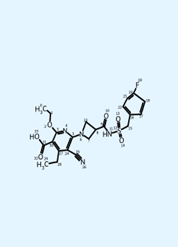 CCOc1nc(N2CC(C(=O)NS(=O)(=O)Cc3ccc(F)cc3)C2)c(C#N)c(CC)c1C(=O)O